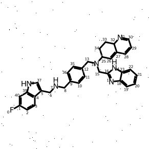 Fc1ccc2c(CNCc3ccc(CN(Cc4nc5ccccc5[nH]4)C4C=C5C=CC=NC5CC4)cc3)c[nH]c2c1